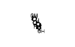 C[C@]12CC[C@@H]3c4ccc(O)cc4CC[C@H]3[C@@H]1CC(O)C2